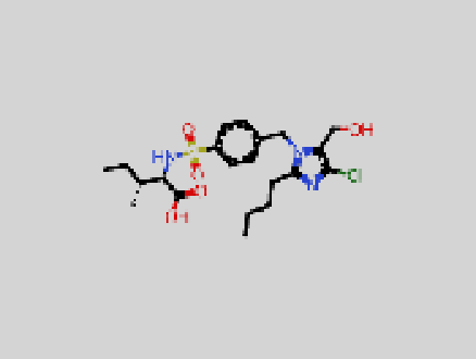 CCCCc1nc(Cl)c(CO)n1Cc1ccc(S(=O)(=O)N[C@@H](C(=O)O)[C@H](C)CC)cc1